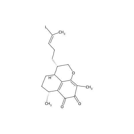 CC1=C2OC[C@@H](CC/C=C(\C)I)[C@@H]3CC[C@@H](C)C(=C23)C(=O)C1=O